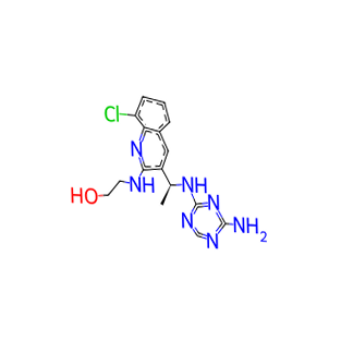 C[C@H](Nc1ncnc(N)n1)c1cc2cccc(Cl)c2nc1NCCO